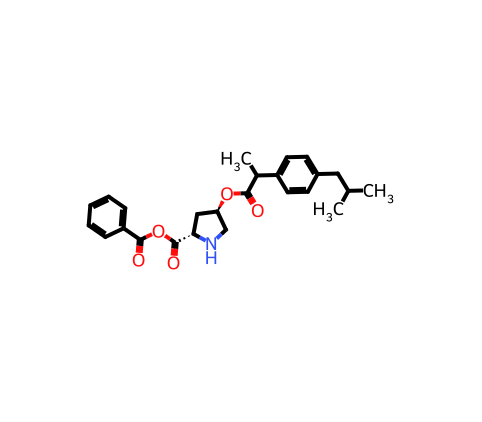 CC(C)Cc1ccc(C(C)C(=O)O[C@H]2CN[C@H](C(=O)OC(=O)c3ccccc3)C2)cc1